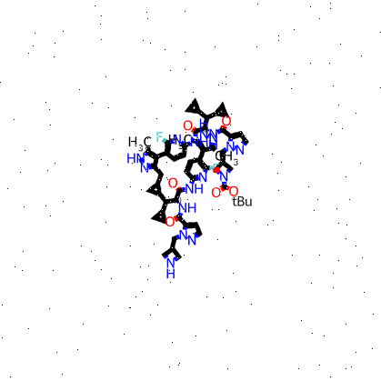 Cc1n[nH]c(C)c1-c1ccc(NC(=O)[C@@H](NC(=O)c2ccnn2CC2CNC2)C(C2CC2)C2CC2Cc2n[nH]c(C)c2-c2ccc(NC(=O)[C@@H](NC(=O)c3ccnn3CC3CN(C(=O)OC(C)(C)C)C3)C(C3CC3)C3CC3)nc2F)nc1F